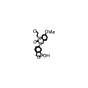 COc1ccc(CN(C(=O)NCCCl)c2ccc3c(c2)B(O)OC3)cc1